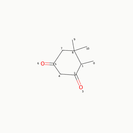 CC1C(=O)CC(=O)CC1(C)C